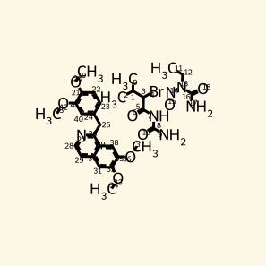 CC(C)C(Br)C(=O)NC(N)=O.CCN(N=O)C(N)=O.COc1ccc(Cc2nccc3cc(OC)c(OC)cc23)cc1OC